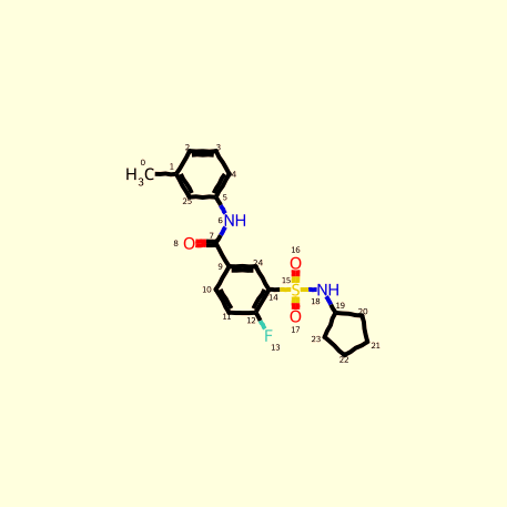 Cc1cccc(NC(=O)c2ccc(F)c(S(=O)(=O)NC3CCCC3)c2)c1